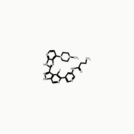 CCCC(=O)Nc1cncc(-c2ncc3[nH]nc(-c4nc5c(N6CCN(C)CC6)ccnc5[nH]4)c3c2F)c1